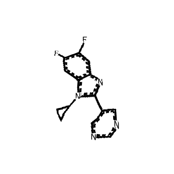 Fc1cc2nc(-c3cncnc3)n(C3CC3)c2cc1F